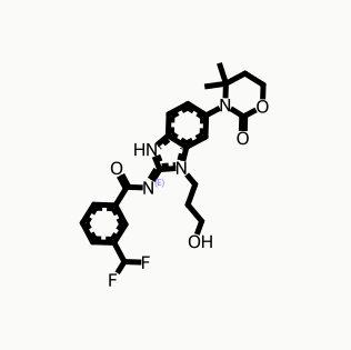 CC1(C)CCOC(=O)N1c1ccc2[nH]/c(=N\C(=O)c3cccc(C(F)F)c3)n(CCCO)c2c1